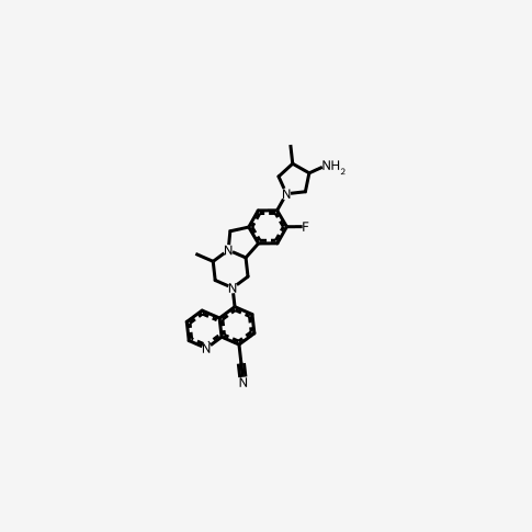 CC1CN(c2cc3c(cc2F)C2CN(c4ccc(C#N)c5ncccc45)CC(C)N2C3)CC1N